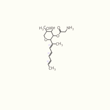 C/C=C/C=C/C=C(\C)C1OCC(C)C(OC)C1OC(=O)CN